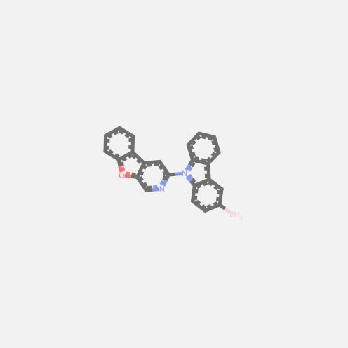 Bc1ccc2c(c1)c1ccccc1n2-c1cc2c(cn1)oc1ccccc12